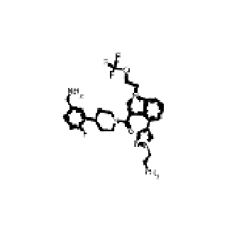 CCCn1cc(-c2cccc3c2c(C(=O)N2CCC(c4cc(CN)ccc4F)CC2)cn3CCOC(F)(F)F)cn1